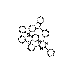 c1ccc(-c2nc(-c3ccccc3)nc(-c3cccc(-n4c5ccccc5c5ccc([Si]6(c7ccccc7)c7ccccc7Oc7ccccc76)cc54)c3)n2)cc1